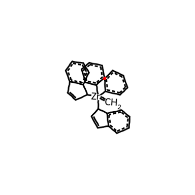 [CH2]=[Zr]([c]1ccccc1)([c]1ccccc1)([CH]1C=Cc2ccccc21)[CH]1C=Cc2ccccc21